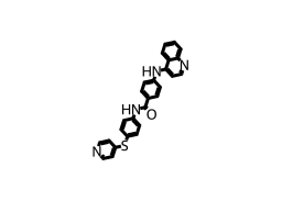 O=C(Nc1ccc(Sc2ccncc2)cc1)c1ccc(Nc2ccnc3ccccc23)cc1